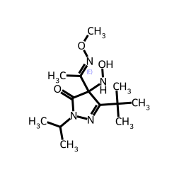 CO/N=C(\C)C1(NO)C(=O)N(C(C)C)N=C1C(C)(C)C